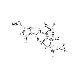 CC(=O)Nc1nc(C)c(-c2cc3c(c(S(C)(=O)=O)n2)C(=O)N(C(C)C2CC2)C3)s1